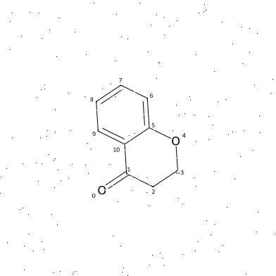 O=C1C[C]Oc2ccccc21